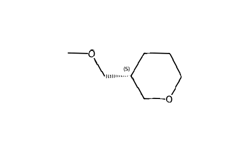 COC[C@@H]1CCCOC1